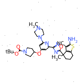 CN1CCN(c2cc(OC3CCN(C(=O)OC(C)(C)C)CC3)cc(-c3noc(C4(C)CCCc5sc(N)c(C#N)c54)n3)n2)CC1